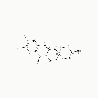 C[C@@H](c1ccc(F)c(F)c1)N1CCC2(CCC(O)CC2)OC1=O